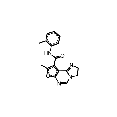 Cc1ccccc1NC(=O)c1c(C)oc2c1C1=NCCN1C=N2